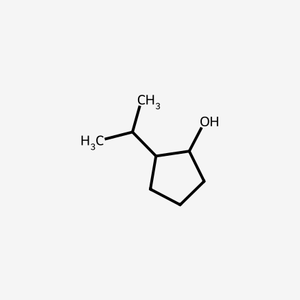 CC(C)C1CCCC1O